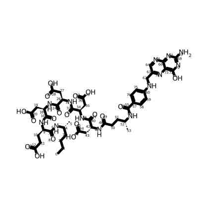 CCCC[C@@H](C)NC(=O)[C@@H](CCC(=O)O)NC(=O)[C@@H](CC(=O)O)NC(=O)[C@@H](CC(=O)O)NC(=O)[C@@H](CC(=O)O)NC(=O)[C@@H](CC(=O)O)NC(=O)CC[C@@H](C)NC(=O)c1ccc(NCc2cnc3nc(N)nc(O)c3n2)cc1